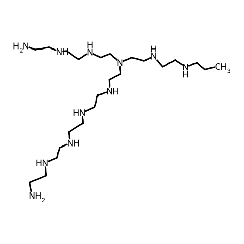 CCCNCCNCCN(CCNCCNCCN)CCNCCNCCNCCNCCN